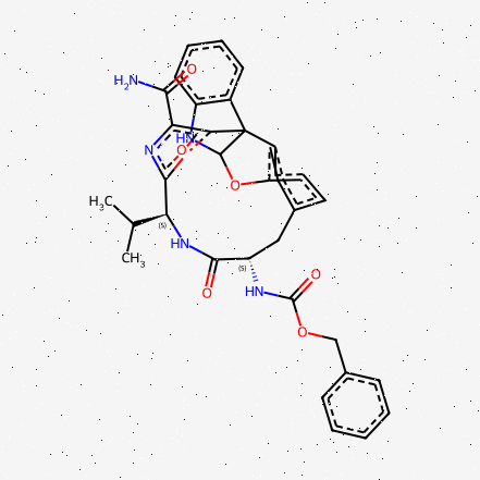 CC(C)[C@@H]1NC(=O)[C@@H](NC(=O)OCc2ccccc2)Cc2ccc3c(c2)C2(c4ccccc4NC2O3)c2oc1nc2C(N)=O